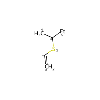 C=CSC(C)CC